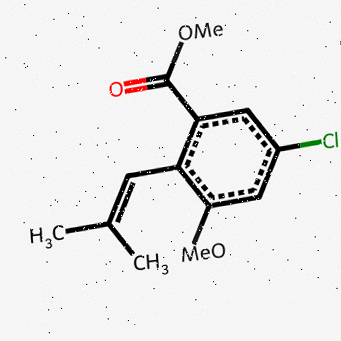 COC(=O)c1cc(Cl)cc(OC)c1C=C(C)C